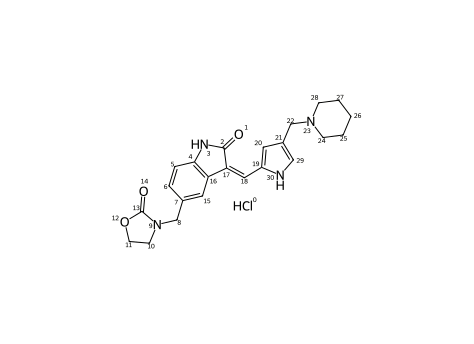 Cl.O=C1Nc2ccc(CN3CCOC3=O)cc2C1=Cc1cc(CN2CCCCC2)c[nH]1